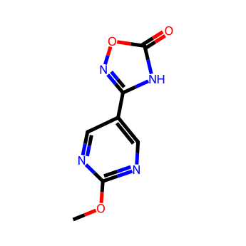 COc1ncc(-c2noc(=O)[nH]2)cn1